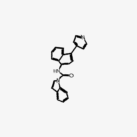 O=C(Nc1ccc(-c2ccncc2)c2ccccc12)n1ccc2ccccc21